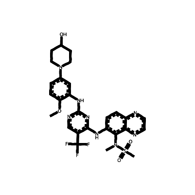 COc1ccc(N2CCC(O)CC2)cc1Nc1ncc(C(F)(F)F)c(Nc2ccc3nccnc3c2N(C)S(C)(=O)=O)n1